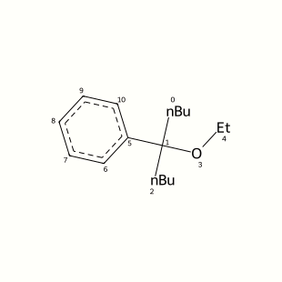 CCCCC(CCCC)(OCC)c1ccccc1